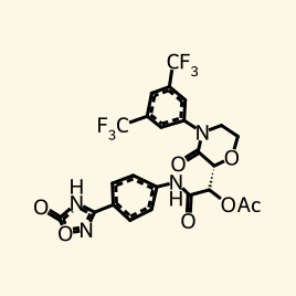 CC(=O)OC(C(=O)Nc1ccc(-c2noc(=O)[nH]2)cc1)[C@H]1OCCN(c2cc(C(F)(F)F)cc(C(F)(F)F)c2)C1=O